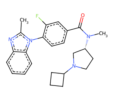 Cc1nc2ccccc2n1-c1ccc(C(=O)N(C)[C@@H]2CCN(C3CCC3)C2)cc1F